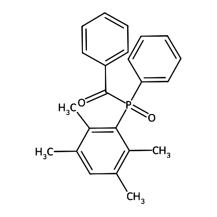 Cc1cc(C)c(C)c(P(=O)(C(=O)c2ccccc2)c2ccccc2)c1C